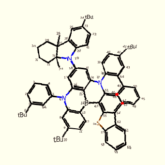 CC(C)(C)c1cccc(N2c3cc(C(C)(C)C)ccc3B3c4c2cc(N2c5ccc(C(C)(C)C)cc5C5(C)CCCCC25C)cc4N(c2ccc(C(C)(C)C)cc2-c2ccccc2)c2ccc4c(sc5ccccc54)c23)c1